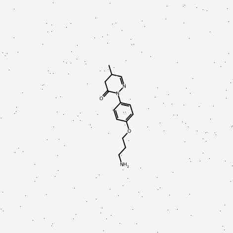 CC1C=NN(c2ccc(OCCCN)cc2)C(=O)C1